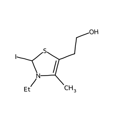 CCN1C(C)=C(CCO)SC1I